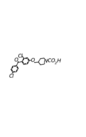 O=C(c1ccc(Cl)cc1)c1ccc(OCC2CCN(C(=O)O)CC2)cc1Cl